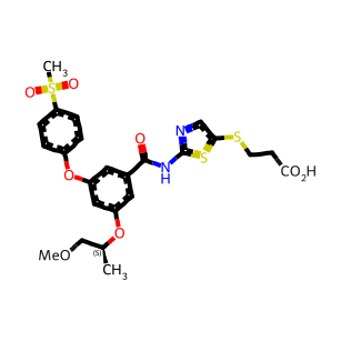 COC[C@H](C)Oc1cc(Oc2ccc(S(C)(=O)=O)cc2)cc(C(=O)Nc2ncc(SCCC(=O)O)s2)c1